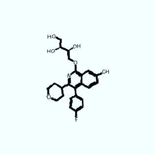 OC[C@H](O)[C@@H](O)COc1nc(C2CCOCC2)c(-c2ccc(F)cc2)c2ccc(O)cc12